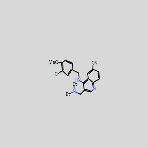 CCN(CC)Cc1cnc2ccc(C#N)cc2c1NCc1ccc(OC)c(Cl)c1